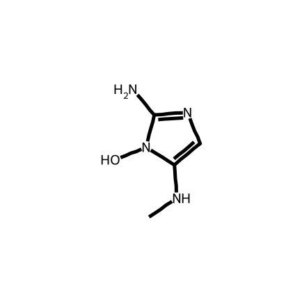 CNc1cnc(N)n1O